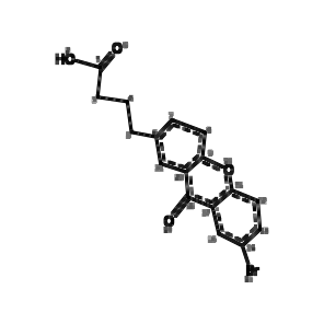 O=C(O)CCCc1ccc2oc3ccc(Br)cc3c(=O)c2c1